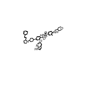 Cc1cc(S(=O)(=O)NC(=O)c2ccc(C3CCC(N4CCCC4/C=C/c4ccccc4)CC3)cc2Oc2cnc3[nH]ccc3c2)ccc1NCC1CCOCC1